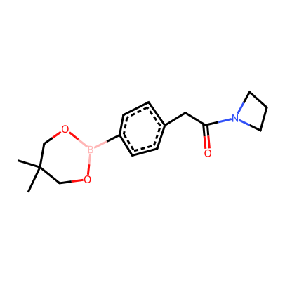 CC1(C)COB(c2ccc(CC(=O)N3CCC3)cc2)OC1